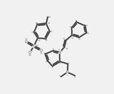 CN(C)Cc1cccc[n+]1C=Cc1ccccc1.Cc1ccc(S(=O)(=O)[O-])cc1